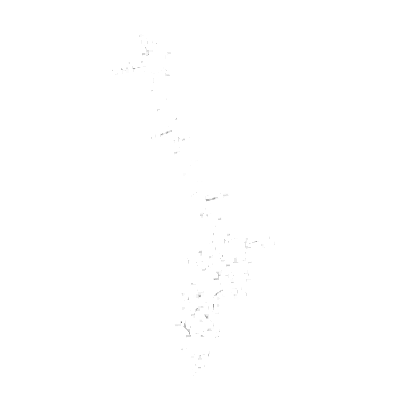 CC(=O)N[C@@H]1C(CCCCC(=O)NCCCCCC(=O)NCCN2C[C@@H](C)C[C@H]3O[C@]4(CC[C@@H]5C(=C4C)C[C@H]4[C@H]5CC=C5C[C@@H](O)CC[C@@]54C)[C@H](C)[C@@H]32)SC[C@@H]1C